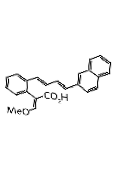 CO/C=C(/C(=O)O)c1ccccc1C=CC=Cc1ccc2ccccc2c1